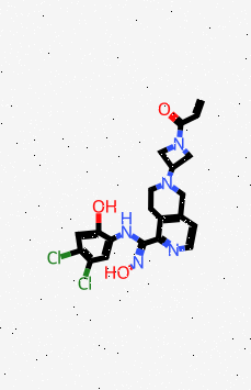 C=CC(=O)N1CC(N2CCc3c(ccnc3/C(=N/O)Nc3cc(Cl)c(Cl)cc3O)C2)C1